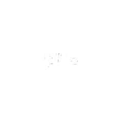 COc1cc2c(c(OC)c1OC)CCC(C(=O)N[C@@H](CO)C(=O)NC(CC(C)C)C(=O)C1(CO)CO1)C2